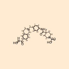 CC1(C(=O)Nc2ccc(CN3CCc4cc(C(=O)NO)ccc4C3)cc2)CCN(C(=O)O)CC1